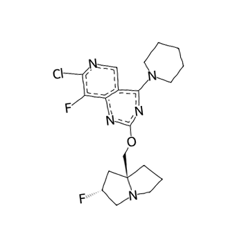 Fc1c(Cl)ncc2c(N3CCCCC3)nc(OC[C@@]34CCCN3C[C@H](F)C4)nc12